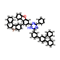 c1ccc(C2=NC(c3cc(-c4ccc5sc6ccc7ccccc7c6c5c4)c4c(c3)oc3ccccc34)NC(c3cccc(-c4ccc5c6ccccc6c6ccccc6c5c4)c3)=N2)cc1